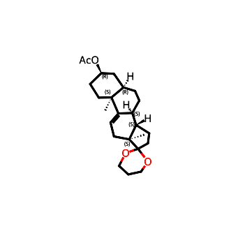 CC(=O)O[C@@H]1CC[C@]2(C)C3=CC[C@@]4(C)[C@@H](CCC45OCCCO5)[C@@H]3CC[C@@H]2C1